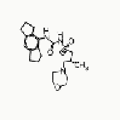 CC(CN1CCOCC1)CS(=O)(=O)NC(=O)Nc1c2c(cc3c1CCC3)CCC2